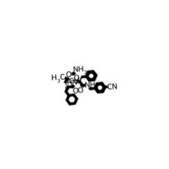 CC(C)(C[C@@H](CC1CCCCC1)C(=O)N[C@@H](Cc1ccccc1)C(=O)NCc1ccc(C#N)cc1)OC(N)=O